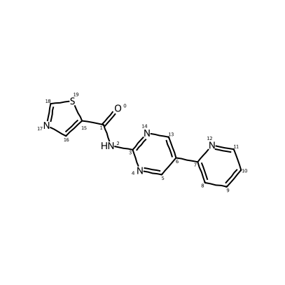 O=C(Nc1ncc(-c2ccccn2)cn1)c1cncs1